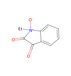 CC[N+]1([O-])C(=O)C(=O)c2ccccc21